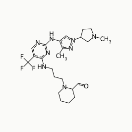 Cc1nn(C2CCN(C)C2)cc1Nc1ncc(C(F)(F)F)c(NCCCN2CCCCC2C=O)n1